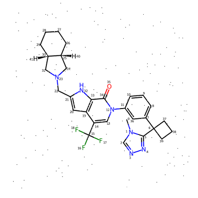 Cn1cnnc1C1(c2cccc(-n3cc(C(F)(F)F)c4cc(CN5C[C@H]6CCCC[C@H]6C5)[nH]c4c3=O)c2)CCC1